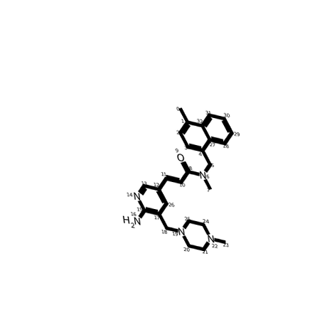 Cc1ccc(CN(C)C(=O)/C=C/c2cnc(N)c(CN3CCN(C)CC3)c2)c2ccccc12